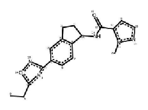 CCc1nc(-c2ccc3c(c2)CCC3NC(=O)c2ccnn2C)no1